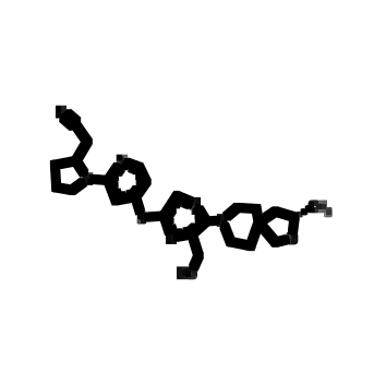 C[C@H]1CC2(CCN(c3ncc(Sc4ccnc(N5CCCC5CC#N)c4)nc3CO)CC2)CO1